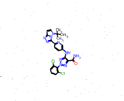 CC(C)(C)n1ccc2nnc(-c3ccc(Nc4nn(-c5c(Cl)cccc5Cl)nc4C(N)=O)cn3)n21